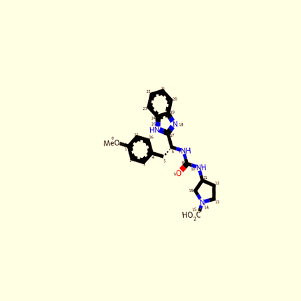 COc1ccc(C[C@@H](NC(=O)NC2CCN(C(=O)O)C2)c2nc3ccccc3[nH]2)cc1